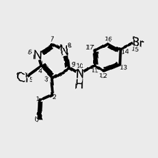 C=CCc1c(Cl)ncnc1Nc1ccc(Br)cc1